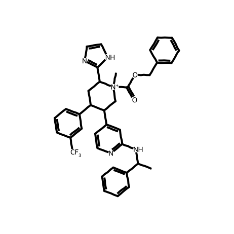 CC(Nc1cc(C2C[N+](C)(C(=O)OCc3ccccc3)C(c3ncc[nH]3)CC2c2cccc(C(F)(F)F)c2)ccn1)c1ccccc1